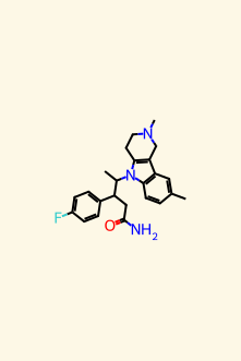 Cc1ccc2c(c1)c1c(n2C(C)C(CC(N)=O)c2ccc(F)cc2)CCN(C)C1